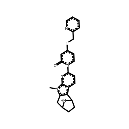 Cn1c2c(c3ccc(-n4ccc(OCc5ccccn5)cc4=O)nc31)C1CCC(C2)N1